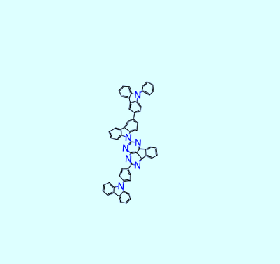 c1ccc(-n2c3ccccc3c3cc(-c4ccc5c(c4)c4ccccc4n5-c4nc5c6c(nc(-c7ccc(-n8c9ccccc9c9ccccc98)cc7)nc6n4)-c4ccccc4-5)ccc32)cc1